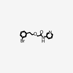 O=C(COCCc1cccc(Br)c1)Nc1cccnc1